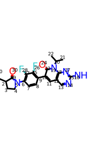 CCC1CCN(c2ccc(-c3cc4cnc(N)nc4n(C(C)C)c3=O)c(F)c2F)C1=O